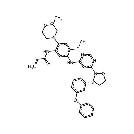 C=CC(=O)Nc1cc(Nc2cc(N3OCC[C@@H]3c3cccc(Oc4ccccc4)c3)ncn2)c(OC)cc1N1CCO[C@@H](C)C1